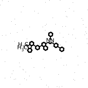 CC1(C)c2ccccc2-c2c(-c3cccc(-c4ccc(-c5cc(-c6ccc(-c7ccccc7)cc6)nc(-c6ccccc6)n5)c5ccccc45)c3)cccc21